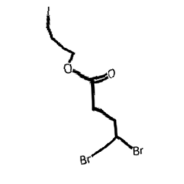 O=C(CCC(Br)Br)OCCI